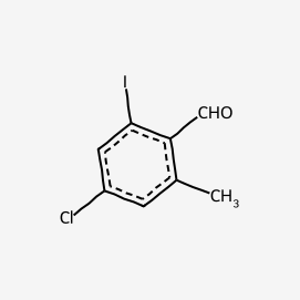 Cc1cc(Cl)cc(I)c1C=O